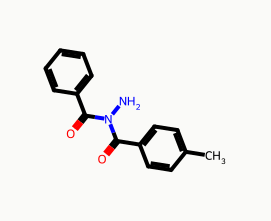 Cc1ccc(C(=O)N(N)C(=O)c2ccccc2)cc1